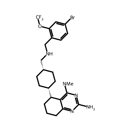 CNc1nc(N)nc2c1C([C@H]1CC[C@@H](CNCc3ccc(Br)cc3OC(F)(F)F)CC1)CCC2